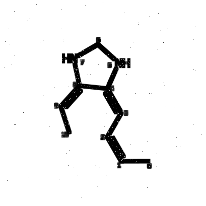 C\C=C/C=C1/NCN/C1=C/C